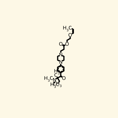 C/C=C\OCCOC(=O)CCN1CCN(c2ccc(C(=O)C(C)(CC)N(C)C)cc2)CC1